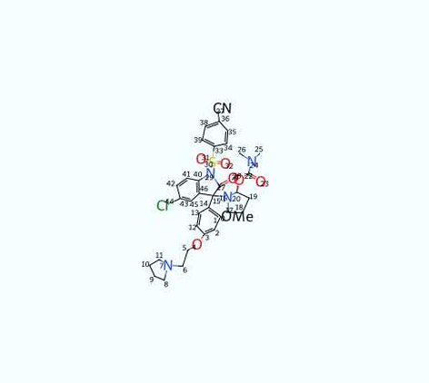 COc1cc(OCCN2CCCC2)ccc1C1(N2CCC[C@@H]2OC(=O)N(C)C)C(=O)N(S(=O)(=O)c2ccc(C#N)cc2)c2ccc(Cl)cc21